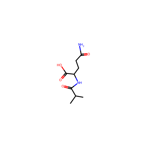 CC(C)C(=O)NC(CCC(N)=O)C(=O)O